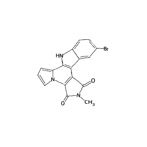 CN1C(=O)c2c(n3cccc3c3[nH]c4ccc(Br)cc4c23)C1=O